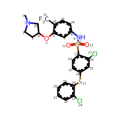 CN1CCC(Oc2cc(NS(=O)(=O)c3ccc(Sc4ccccc4Cl)cc3Cl)ccc2C(F)(F)F)C1